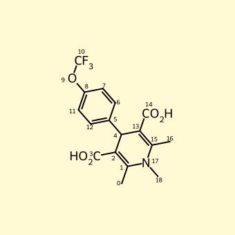 CC1=C(C(=O)O)C(c2ccc(OC(F)(F)F)cc2)C(C(=O)O)=C(C)N1C